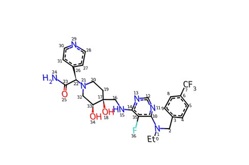 CCN(Cc1ccc(C(F)(F)F)cc1)c1ncnc(NC[C@@]2(O)CCN([C@@H](C(N)=O)c3ccncc3)C[C@@H]2O)c1F